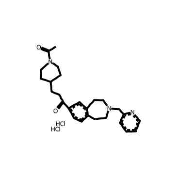 CC(=O)N1CCC(CCC(=O)c2ccc3c(c2)CCN(Cc2ccccn2)CC3)CC1.Cl.Cl